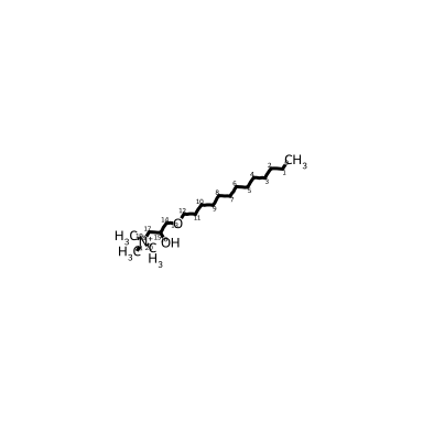 CCCCCCCCCCCCCOCC(O)C[N+](C)(C)C